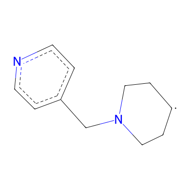 [CH]1CCN(Cc2ccncc2)CC1